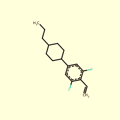 C=Cc1c(F)cc(C2CCC(CCC)CC2)cc1F